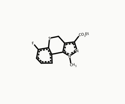 CCOC(=O)c1nn(C)c2c1CSc1c(F)cccc1-2